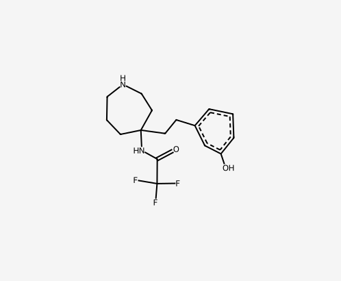 O=C(NC1(CCc2cccc(O)c2)CCCNCC1)C(F)(F)F